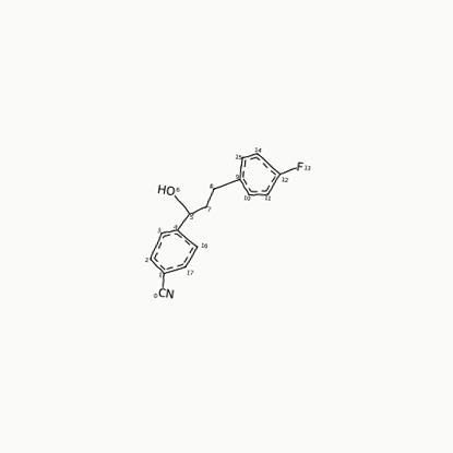 N#Cc1ccc([C](O)CCc2ccc(F)cc2)cc1